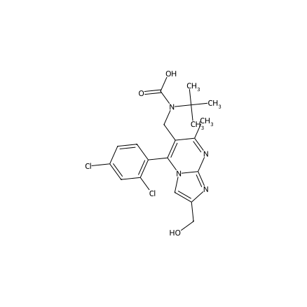 Cc1nc2nc(CO)cn2c(-c2ccc(Cl)cc2Cl)c1CN(C(=O)O)C(C)(C)C